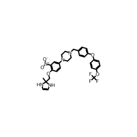 CC1(COc2ccc(N3CCN(Cc4ccc(Oc5ccc(OC(F)(F)F)cc5)cc4)CC3)cc2[N+](=O)[O-])NC=CN1